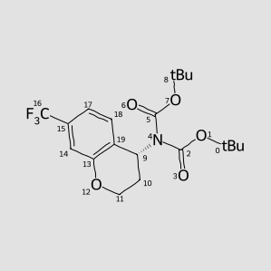 CC(C)(C)OC(=O)N(C(=O)OC(C)(C)C)[C@@H]1CCOc2cc(C(F)(F)F)ccc21